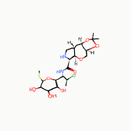 CSC1OC([C@H](NC(=O)[C@H]2NC[C@@H]3C[C@H]4OC(C)(C)O[C@H]4CO[C@H]32)[C@H](C)Cl)C(O)C(O)C1O